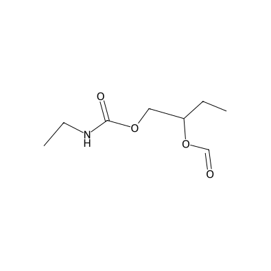 CCNC(=O)OCC(CC)OC=O